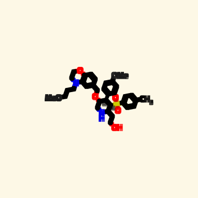 COCCCN1CCOc2ccc(COC3CNC(CCO)[C@H](S(=O)(=O)c4ccc(C)cc4)[C@@H]3c3ccc(OC)cc3)cc21